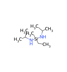 CC[Si](C)(NC(C)C)NC(C)C